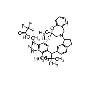 Cc1c(C(c2ccc3c(c2)C(N2Cc4ncccc4OC(C)(C)C2)CC3)C(C)(C)C(=O)O)ccc2c1nnn2C.O=C(O)C(F)(F)F